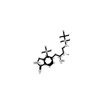 C[C@@H](CO[Si](C)(C)C(C)(C)C)[C@@H](O)Cc1c#cc2c(c1[Si](C)(C)C)CNC2=O